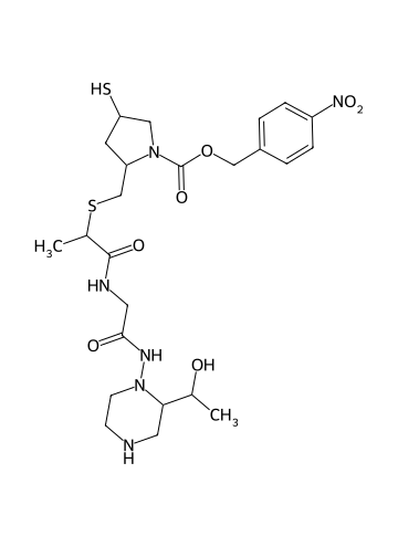 CC(SCC1CC(S)CN1C(=O)OCc1ccc([N+](=O)[O-])cc1)C(=O)NCC(=O)NN1CCNCC1C(C)O